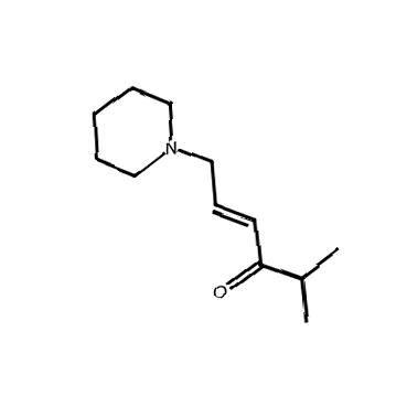 CC(C)C(=O)/C=C/CN1CCCCC1